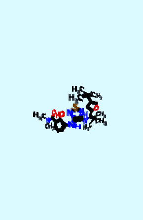 CN(C)C(=O)c1cccc(Nc2nsnc2N[C@@H](C2CC(C(C)(C)C)=CO2)C(C)(C)C)c1O